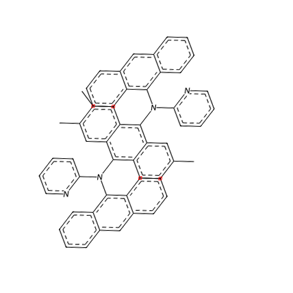 Cc1ccc2c(N(c3ccccn3)c3c4ccccc4cc4ccccc34)c3cc(C)c(C)cc3c(N(c3ccccn3)c3c4ccccc4cc4ccccc34)c2c1